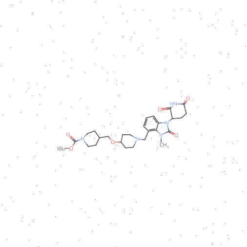 Cn1c(=O)n(C2CCC(=O)NC2=O)c2cccc(CN3CCC(OCC4CCN(C(=O)OC(C)(C)C)CC4)CC3)c21